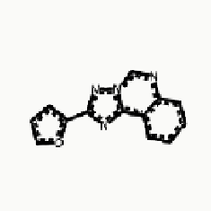 c1coc(-c2nc3c4ccccc4ncn3n2)c1